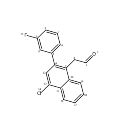 O=CCc1c(-c2cccc(F)c2)cc(Cl)c2ccccc12